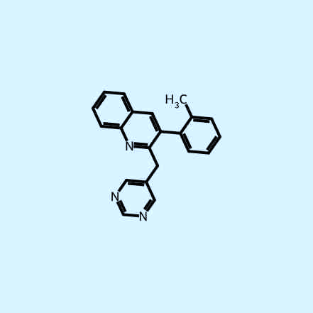 Cc1ccccc1-c1cc2ccccc2nc1Cc1cncnc1